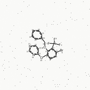 FC(F)(F)c1c(Br)ccc(Oc2ccncn2)c1OCc1ccccc1